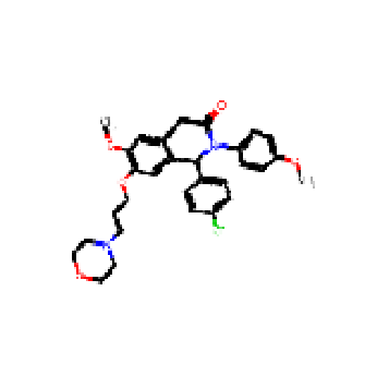 COc1ccc(N2C(=O)Cc3cc(OC)c(OCCCN4CCOCC4)cc3C2c2ccc(Cl)cc2)cc1